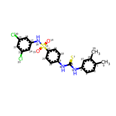 Cc1ccc(NC(=S)Nc2ccc(S(=O)(=O)Nc3cc(Cl)cc(Cl)c3)cc2)cc1C